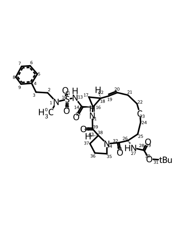 CN(CCc1ccccc1)S(=O)(=O)NC(=O)[C@@]12C[C@H]1/C=C\CCCCC[C@H](NC(=O)OC(C)(C)C)C(=O)N1CCC[C@H]1C(=O)N2